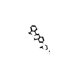 NC[C@H]1CN(c2ccc3cc(-c4ccccc4C(F)(F)F)[nH]c(=O)c3c2)C(=O)O1